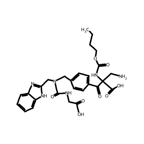 CCCCOC(=O)NC(CN)(C(=O)O)C(=O)c1ccc(CN(Cc2nc3ccccc3[nH]2)C(=O)NCC(=O)O)cc1